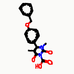 Cc1c(-c2ccc(OCc3ccccc3)cc2)n(C)c(=O)n(C(=O)O)c1=O